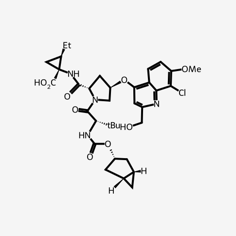 CC[C@@H]1C[C@]1(NC(=O)[C@@H]1C[C@@H](Oc2cc(CO)nc3c(Cl)c(OC)ccc23)CN1C(=O)[C@@H](NC(=O)O[C@@H]1C[C@@H]2C[C@@H]2C1)C(C)(C)C)C(=O)O